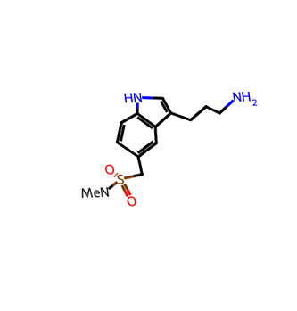 CNS(=O)(=O)Cc1ccc2[nH]cc(CCCN)c2c1